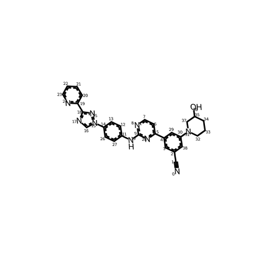 N#Cc1cc(-c2ccnc(Nc3ccc(-n4cnc(-c5ccccn5)n4)cc3)n2)cc(N2CCCC(O)C2)c1